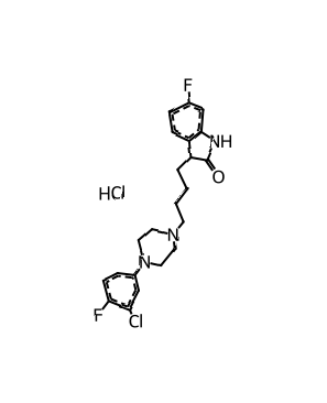 Cl.O=C1Nc2cc(F)ccc2C1CCCCN1CCN(c2ccc(F)c(Cl)c2)CC1